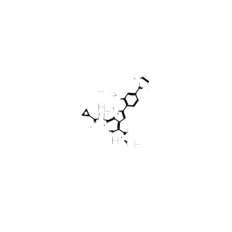 CNC(=O)c1cnc(NC(=O)C2CC2)c2[nH]c(-c3ccc(-c4nccs4)cc3OC)cc12